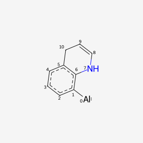 [Al][c]1cccc2c1NC=CC2